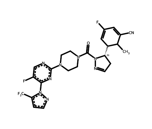 CC1C(C#N)=CC(F)=CC1[C@@H]1CC=NN1C(=O)N1CCN(c2ncc(F)c(-n3nccc3C(F)(F)F)n2)CC1